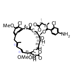 COc1cc2cc(c1Cl)N(C)C(=O)C[C@H](OC(=O)[C@H](C)N(C)C(=O)c1ccc(N)cc1Cl)[C@]1(C)O[C@H]1[C@H](C)[C@@H]1C[C@@](O)(NC(=O)O1)[C@H](OC)/C=C/C=C(\C)C2